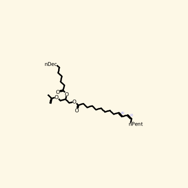 C=C(C)OCC(COC(=O)CCCCCCCC/C=C/C=C\CCCCC)OC(=O)CCCCCCCCCCCCCCC